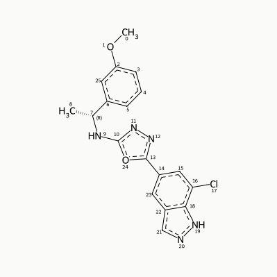 COc1cccc([C@@H](C)Nc2nnc(-c3cc(Cl)c4[nH]ncc4c3)o2)c1